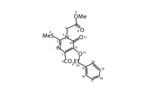 CCOC(=O)c1nc(SC)n(CC(=O)OC)c(=O)c1OCc1ccccc1